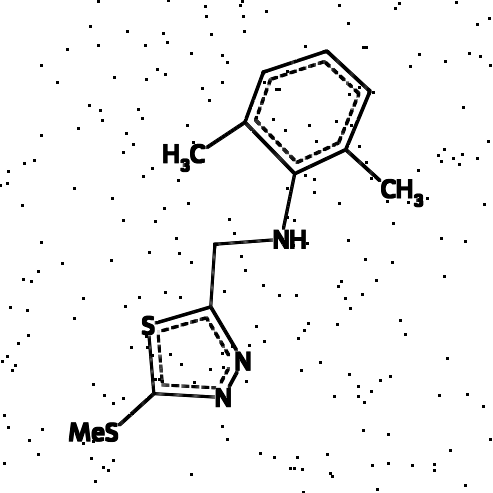 CSc1nnc(CNc2c(C)cccc2C)s1